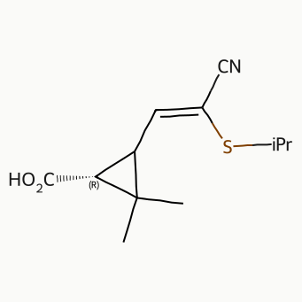 CC(C)SC(C#N)=CC1[C@@H](C(=O)O)C1(C)C